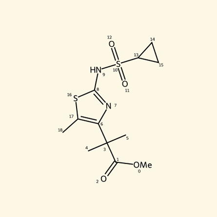 COC(=O)C(C)(C)c1nc(NS(=O)(=O)C2CC2)sc1C